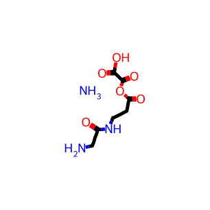 N.NCC(=O)NCCC(=O)OC(=O)C(=O)O